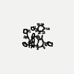 O=C1Nc2ccc(Cl)cc2[C@@H](c2ccccc2Cl)O[C@@H]1CCl